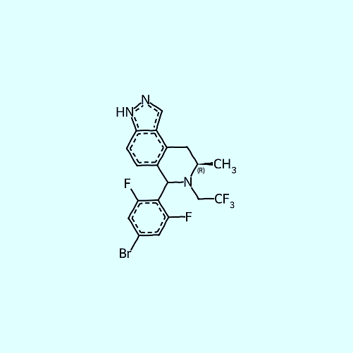 C[C@@H]1Cc2c(ccc3[nH]ncc23)C(c2c(F)cc(Br)cc2F)N1CC(F)(F)F